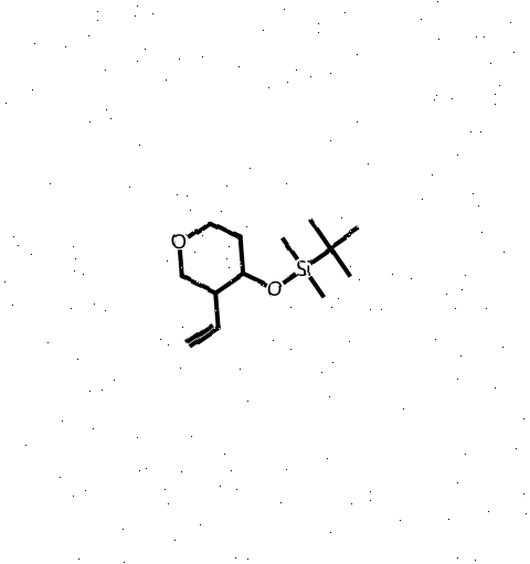 C=CC1COCCC1O[Si](C)(C)C(C)(C)C